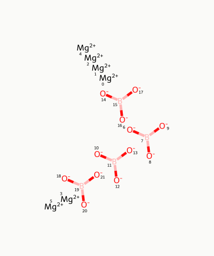 [Mg+2].[Mg+2].[Mg+2].[Mg+2].[Mg+2].[Mg+2].[O-]B([O-])[O-].[O-]B([O-])[O-].[O-]B([O-])[O-].[O-]B([O-])[O-]